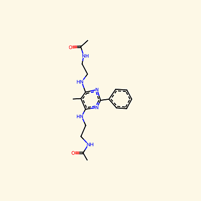 CC(=O)NCCNc1nc(-c2ccccc2)nc(NCCNC(C)=O)c1C